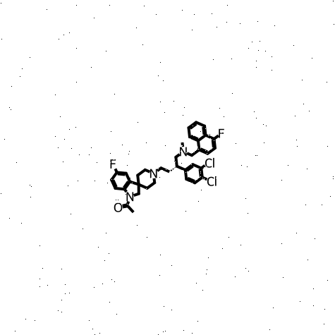 CC(=O)N1CC2(CCN(CC[C@H](CN(C)Cc3ccc(F)c4ccccc34)c3ccc(Cl)c(Cl)c3)CC2)c2cc(F)ccc21